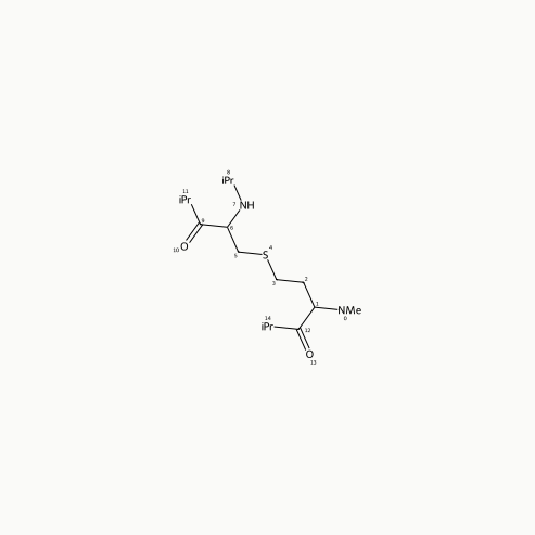 CNC(CCSCC(NC(C)C)C(=O)C(C)C)C(=O)C(C)C